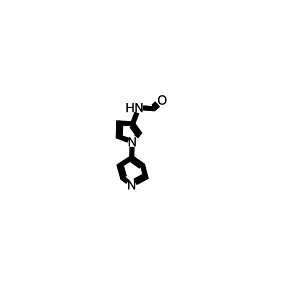 O=CNc1ccn(-c2ccncc2)c1